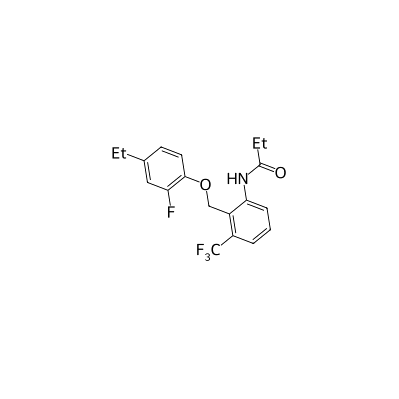 CCC(=O)Nc1cccc(C(F)(F)F)c1COc1ccc(CC)cc1F